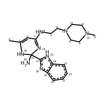 CC1=CC(NCCN2CCN(C)CC2)=NC(N)(c2nc3ccccc3[nH]2)N1